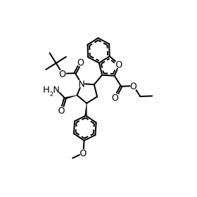 CCOC(=O)c1oc2ccccc2c1C1C[C@@H](c2ccc(OC)cc2)[C@@H](C(N)=O)N1C(=O)OC(C)(C)C